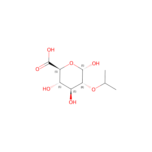 CC(C)O[C@@H]1[C@@H](O)[C@H](O)[C@@H](C(=O)O)O[C@@H]1O